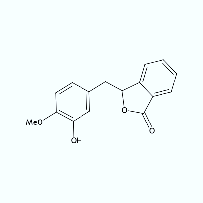 COc1ccc(CC2OC(=O)c3ccccc32)cc1O